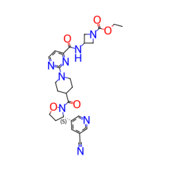 CCOC(=O)N1CC(NC(=O)c2ccnc(N3CCC(C(=O)N4OCC[C@H]4c4cncc(C#N)c4)CC3)n2)C1